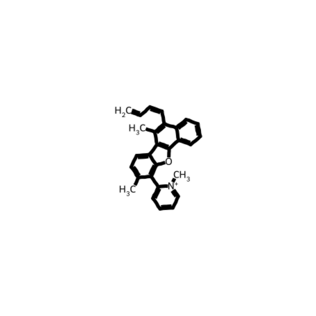 C=C/C=C\c1c(C)c2c3ccc(C)c(-c4cccc[n+]4C)c3oc2c2ccccc12